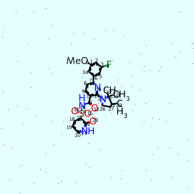 COc1cc(F)cc(-c2ccc(C(=O)NS(=O)(=O)c3ccc[nH]c3=O)c(N3CCC(C)C3(C)C)n2)c1